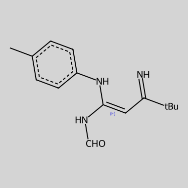 Cc1ccc(N/C(=C\C(=N)C(C)(C)C)NC=O)cc1